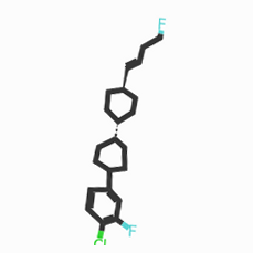 FCC/C=C/[C@H]1CC[C@H](C2CCC(c3ccc(Cl)c(F)c3)CC2)CC1